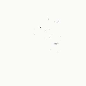 COc1ccc2c(c1)CCc1c-2sc(NC(C)=O)c1C(N)=O